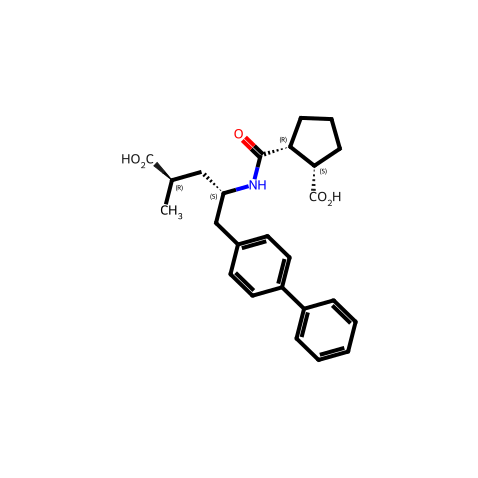 C[C@H](C[C@@H](Cc1ccc(-c2ccccc2)cc1)NC(=O)[C@@H]1CCC[C@@H]1C(=O)O)C(=O)O